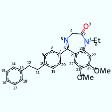 CCN1C(=O)CN=C(c2ccc(CCc3ccccc3)cc2)c2cc(OC)c(OC)cc21